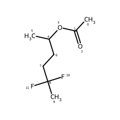 CC(=O)OC(C)CCC(C)(F)F